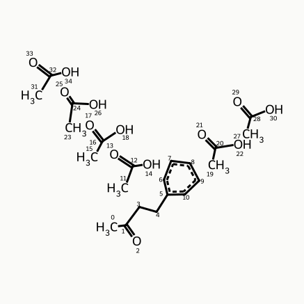 CC(=O)CCc1ccccc1.CC(=O)O.CC(=O)O.CC(=O)O.CC(=O)O.CC(=O)O.CC(=O)O